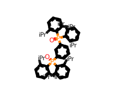 CC(C)c1cccc(C(C)C)c1P(=O)(c1cccc(P(=O)(c2c(C(C)C)cccc2C(C)C)c2c(C(C)C)cccc2C(C)C)c1)c1c(C(C)C)cccc1C(C)C